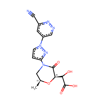 C[C@H]1CN(c2ccn(-c3cnnc(C#N)c3)n2)C(=O)[C@@H](C(O)C(=O)O)O1